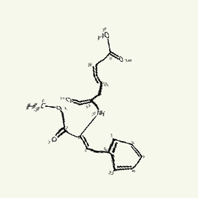 COC(=O)C(=Cc1ccccc1)NC(=O)C=CC(=O)O